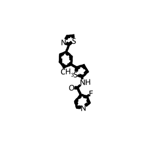 Cc1ccc(-c2nccs2)cc1-c1ccc(NC(=O)c2ccncc2F)s1